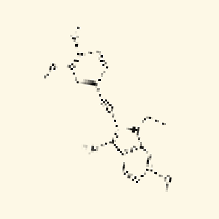 CCn1c(C#Cc2ccc(OC)c(OC)c2)c(N)c2ccc(OC)cc21